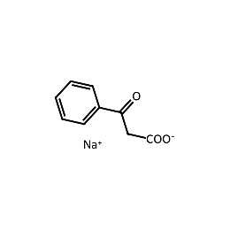 O=C([O-])CC(=O)c1ccccc1.[Na+]